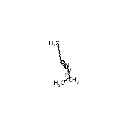 CCCCCCCCCCCc1ccc(-c2ncc(OCCC(F)CC(C)CCCCC)cn2)cc1